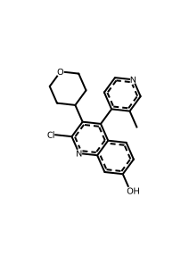 Cc1cnccc1-c1c(C2CCOCC2)c(Cl)nc2cc(O)ccc12